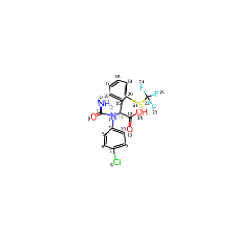 NC(=O)N(c1ccc(Cl)cc1)C(C(=O)O)c1ccccc1SC(F)(F)F